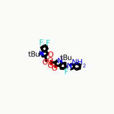 CC(C)(C)n1cc(C(=O)OC(=O)c2cn(C(C)(C)C)c3cc(N4CC5C=CC=CC5(N)C4)c(F)cc3c2=O)c(=O)c2cc(F)c(F)cc21